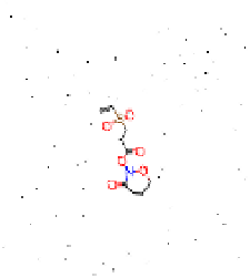 C=CS(=O)(=O)CCC(=O)ON1OCCCC1=O